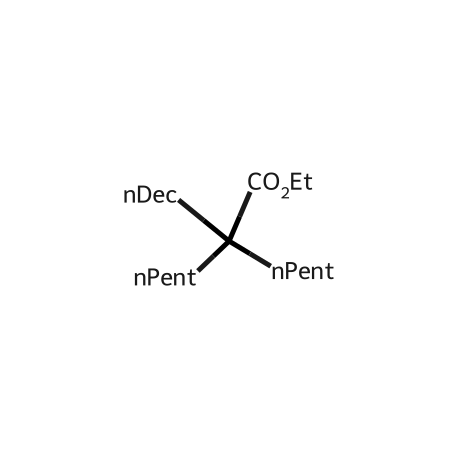 CCCCCCCCCCC(CCCCC)(CCCCC)C(=O)OCC